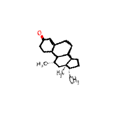 C[C@H]1C[C@@]2(C)C(CC[C@@H]2C)C2CCC3=CC(=O)CCC3C21